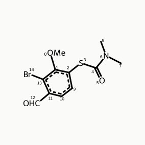 COc1c(SC(=O)N(C)C)ccc(C=O)c1Br